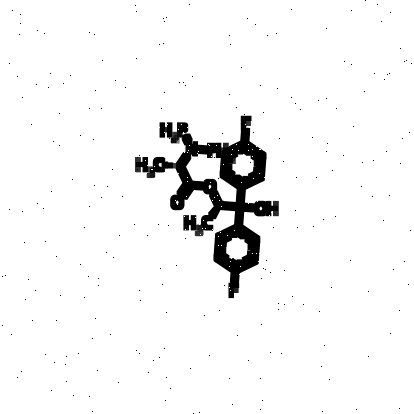 C[C@@H](C(=O)O[C@H](C)C(O)(c1ccc(F)cc1)c1ccc(F)cc1)N(P)P